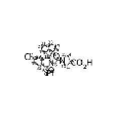 CC(C)CC1C(=O)N(CC(=O)N2CCC(C(=O)O)CC2)CC(c2cccc3ccccc23)c2cc(Cl)ccc21